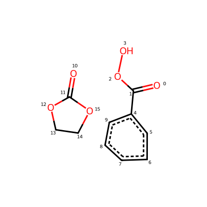 O=C(OO)c1ccccc1.O=C1OCCO1